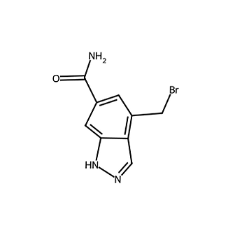 NC(=O)c1cc(CBr)c2cn[nH]c2c1